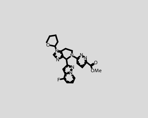 COC(=O)c1ccc(N2CCc3c(ncn3C3CCCCO3)C2c2cc3c(F)cccn3n2)nn1